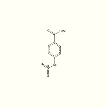 COC(=O)c1ccc(N[SH](=O)=O)cc1